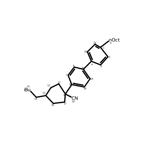 CCCCCCCCc1ccc(-c2ccc(C3(C#N)CCC(CC(C)CC)CC3)cc2)cc1